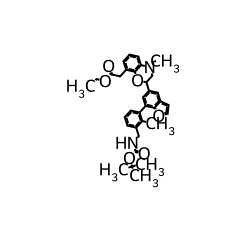 CCOC(=O)Cc1cccc2c1OC(c1cc(-c3cccc(CNC(=O)OC(C)(C)C)c3C)c3occc3c1)CN2C